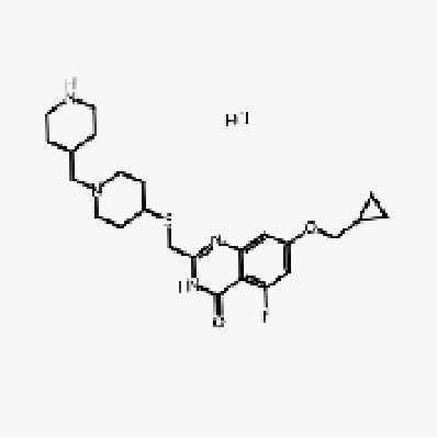 Cl.O=c1[nH]c(CSC2CCN(CC3CCNCC3)CC2)nc2cc(OCC3CC3)cc(F)c12